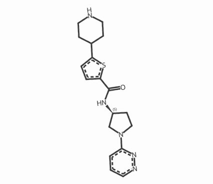 O=C(N[C@H]1CCN(c2cccnn2)C1)c1ccc(C2CCNCC2)s1